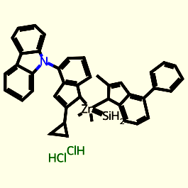 CC1=Cc2c(-c3ccccc3)cccc2[CH]1[Zr]([CH3])([CH3])(=[SiH2])[CH]1C(C2CC2)=Cc2c1cccc2-n1c2ccccc2c2ccccc21.Cl.Cl